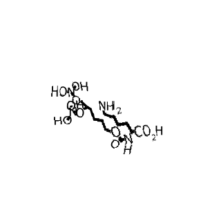 NCCCCC(NC(=O)OCCCCC(CON(O)O)ON(O)O)C(=O)O